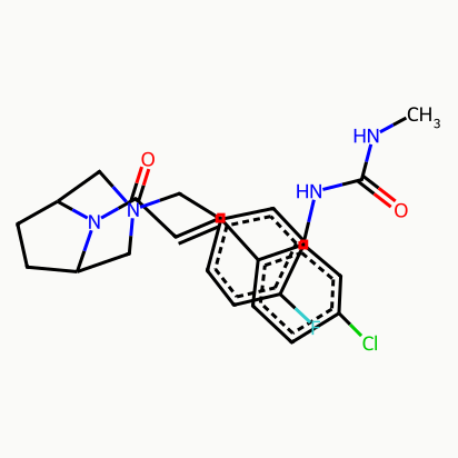 CNC(=O)Nc1cc(Cl)ccc1C=CC(=O)N1C2CCC1CN(Cc1ccc(F)cc1)C2